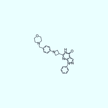 O=c1[nH]c(C2CN(c3ccc(CN4CCOCC4)cc3)C2)nc2c1cnn2-c1ccccc1